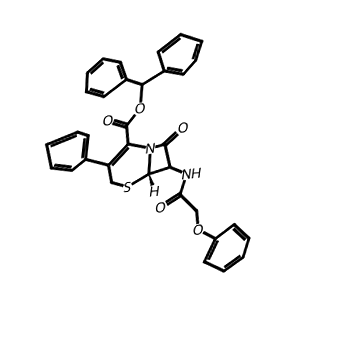 O=C(COc1ccccc1)NC1C(=O)N2C(C(=O)OC(c3ccccc3)c3ccccc3)=C(c3ccccc3)CS[C@@H]12